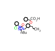 C=CCc1cc(Cn2c(CCCC)nn(-c3ccccc3Cl)c2=O)ccc1OC(C(=O)O)c1ccccc1